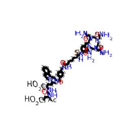 CC(=O)[C@@H](CCC(=O)O)NC(=O)N[C@H](CCCCN(Cc1nccc2ccccc12)C(=O)c1ccc(CNC(=O)CCCCCC(=S)Nc2ccc(CC3CN(CC(N)=O)CCN(CC(N)=O)CCN(CC(N)=O)CCN3CC(N)=O)cc2)cc1)C(=O)O